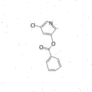 O=C(Oc1[c]ncc(Cl)c1)c1ccccc1